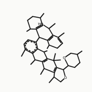 CC1=CCC(C)C(C(C2=CC(C)CCC2C)c2ccc(C)c3c2C(C)C2=C(C(C)C4=C(C(C5CCC(C)CO5)OCC4C)C2(C)C)C3C)=C1C(C)O